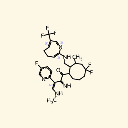 CN/C=C(\C(=N)C(=O)C1CCCC(F)(F)CC(C)C1CNC1=C/CC/C=C(C(F)(F)F)/C=N\1)c1ccc(F)cn1